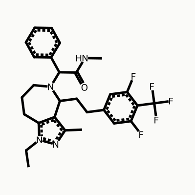 CCn1nc(C)c2c1CCCN(C(C(=O)NC)c1ccccc1)C2CCc1cc(F)c(C(F)(F)F)c(F)c1